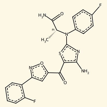 C[C@H](C(N)=O)N(c1ccc(F)cc1)c1nc(N)c(C(=O)c2cc(-c3ccccc3F)no2)s1